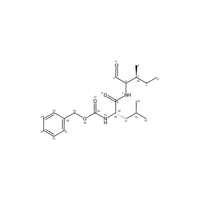 CC[C@H](C)C(C=O)NC(=O)[C@H](CC(C)C)NC(=O)OCc1ccccc1